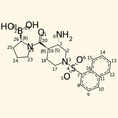 N[C@@H]1CN(S(=O)(=O)c2cccc3ccccc23)CC[C@H]1C(=O)N1CCC[C@H]1B(O)O